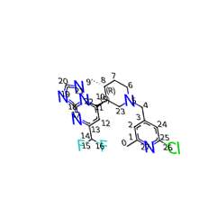 Cc1cc(CN2CC[C@@H](C)[C@H](c3cc(C(F)F)nc4ncnn34)C2)cc(Cl)n1